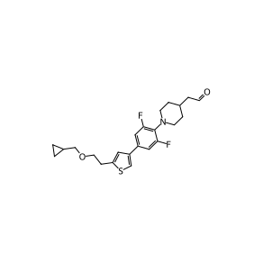 O=CCC1CCN(c2c(F)cc(-c3csc(CCOCC4CC4)c3)cc2F)CC1